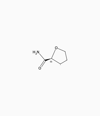 NC(=O)[C@@H]1[CH]CCO1